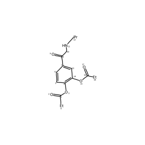 CCC(=O)Oc1ccc(C(=O)CNC(C)C)cc1OC(=O)CC